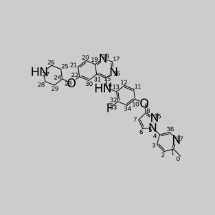 Cc1ccc(-n2ccc(Oc3ccc(Nc4ncnc5ccc(OC6CCNCC6)cc45)c(F)c3)n2)cn1